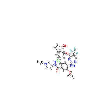 COc1cc(C(=O)N[C@H]2CCN(C)C2)c(Cl)cc1Nc1ncc(C(F)(F)F)c(Oc2cccc3c2C(O)CC3)n1